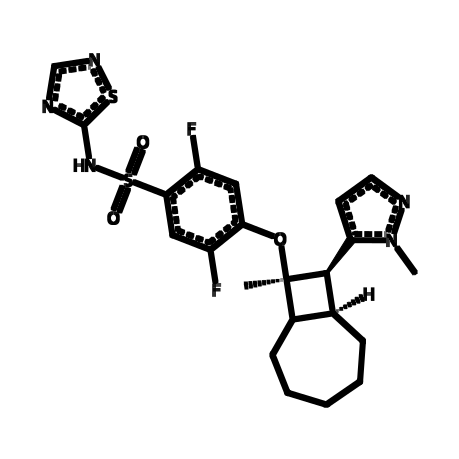 Cn1nccc1[C@H]1[C@H]2CCCCCC2[C@@]1(C)Oc1cc(F)c(S(=O)(=O)Nc2ncns2)cc1F